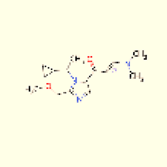 COCc1ncc(C(=O)/C=C/N(C)C)n1C(C)C1CC1